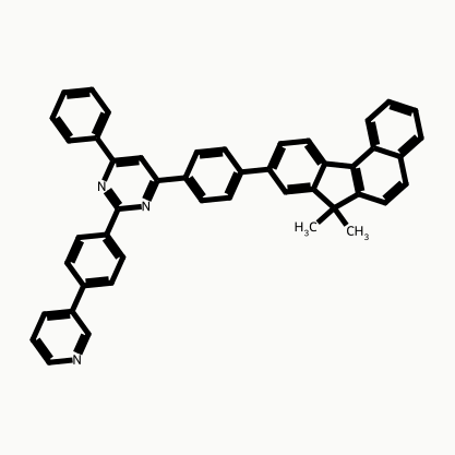 CC1(C)c2cc(-c3ccc(-c4cc(-c5ccccc5)nc(-c5ccc(-c6cccnc6)cc5)n4)cc3)ccc2-c2c1ccc1ccccc21